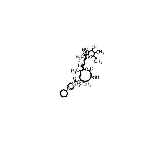 CCC(O)C(C)C(C)C(O)CC(C)(O)/C=C/C=C(\C)C1OC(=O)CC(O)CCC(C)(C)C(OC(=O)N2CCN(C3CCCCCC3)CC2)/C=C/C1C